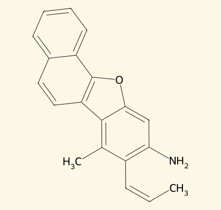 C/C=C\c1c(N)cc2oc3c4ccccc4ccc3c2c1C